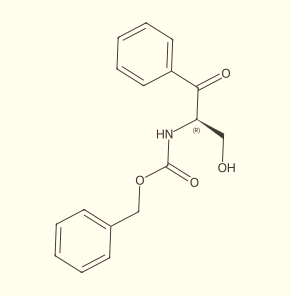 O=C(N[C@H](CO)C(=O)c1ccccc1)OCc1ccccc1